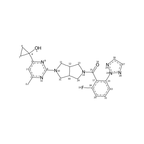 Cc1cc(C2(O)CC2)nc(N2CC3CN(C(=O)c4c(F)cccc4-n4nccn4)CC3C2)n1